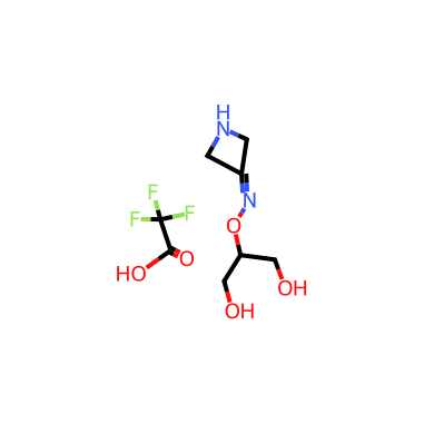 O=C(O)C(F)(F)F.OCC(CO)ON=C1CNC1